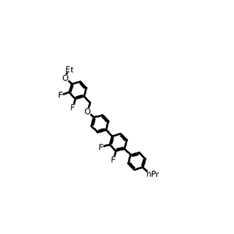 CCCc1ccc(-c2ccc(-c3ccc(OCc4ccc(OCC)c(F)c4F)cc3)c(F)c2F)cc1